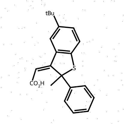 CC(C)(C)c1ccc2c(c1)/C(=C/C(=O)O)C(C)(c1ccccc1)S2